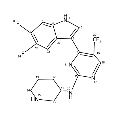 Fc1cc2[nH]cc(-c3nc(N[C@H]4CCCNC4)ncc3C(F)(F)F)c2cc1F